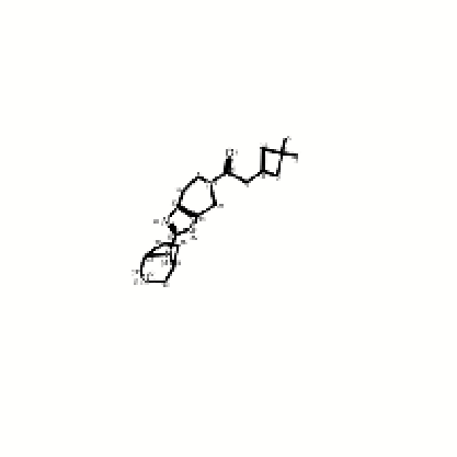 CC1(C)CC(CC(=O)N2CCc3nc(N4C5CCC4CNC5)sc3C2)C1